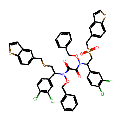 O=C(C(=O)N(OCc1ccccc1)C(CS(=O)(=O)Cc1ccc2sccc2c1)c1ccc(Cl)c(Cl)c1)N(OCc1ccccc1)C(CSCc1ccc2sccc2c1)c1ccc(Cl)c(Cl)c1